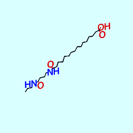 CCCNC(=O)CCCNC(=O)CCCCCCCCCCCCCCC(=O)O